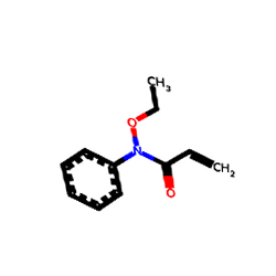 C=CC(=O)N(OCC)c1ccccc1